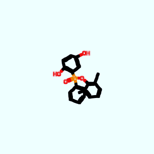 Cc1cccc(C)c1OP(=O)(c1ccccc1)c1cc(O)ccc1O